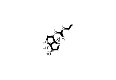 CCOC(=O)O[C@H]1CO[C@H]2[C@@H]1OC[C@H]2O